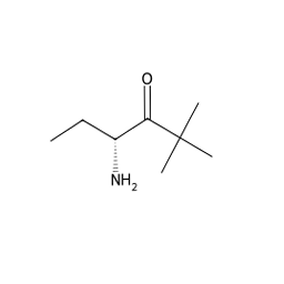 CC[C@@H](N)C(=O)C(C)(C)C